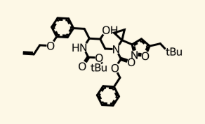 C=CCOc1cccc(CC(NC(=O)OC(C)(C)C)C(O)CN(C(=O)OCc2ccccc2)C2(c3cc(CC(C)(C)C)on3)CC2)c1